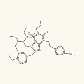 CCCn1c(=O)c2c(nc(Cc3ccc(SC)cc3)n2CC(N(CC)CC)N(CC)CC)n(CCc2ccc(N)cc2)c1=O